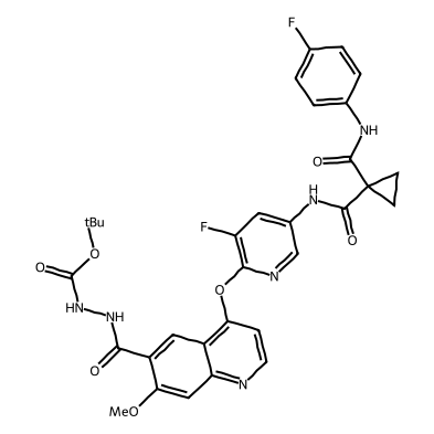 COc1cc2nccc(Oc3ncc(NC(=O)C4(C(=O)Nc5ccc(F)cc5)CC4)cc3F)c2cc1C(=O)NNC(=O)OC(C)(C)C